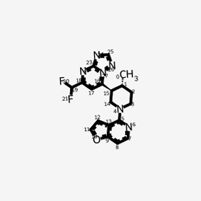 C[C@@H]1CCN(c2nccc3occc23)C[C@H]1c1cc(C(F)F)nc2ncnn12